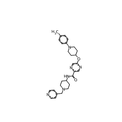 Cc1ccc(N2CCC(Oc3cnc(C(=O)NC4CCN(Cc5ccncc5)CC4)cn3)CC2)cc1